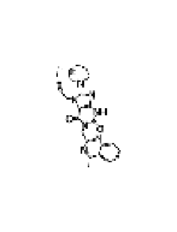 CC#CCn1c(N2CCC[C@@H](C)C2)nc2[nH]c(=O)n(Cc3nc(C)c4ccccc4n3)c(=O)c21